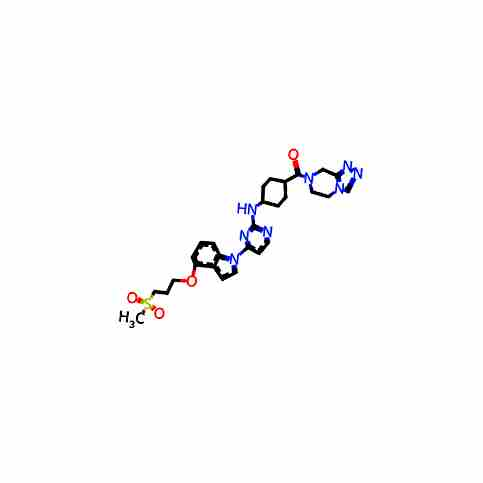 CS(=O)(=O)CCCOc1cccc2c1ccn2-c1ccnc(NC2CCC(C(=O)N3CCn4cnnc4C3)CC2)n1